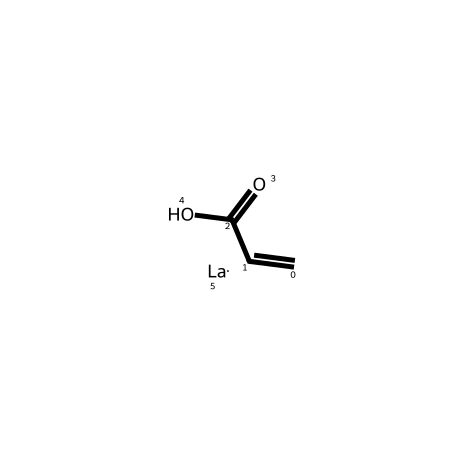 C=CC(=O)O.[La]